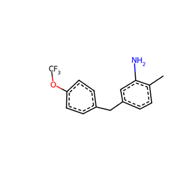 Cc1ccc(Cc2ccc(OC(F)(F)F)cc2)cc1N